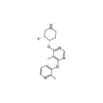 Cc1ncccc1Oc1ncnc(O[C@H]2CCNC[C@H]2F)c1C